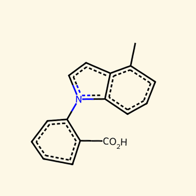 Cc1cccc2c1ccn2-c1ccccc1C(=O)O